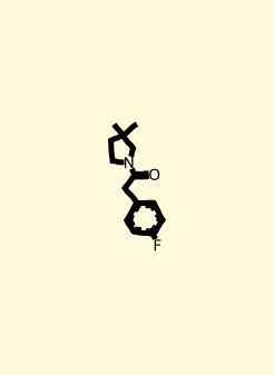 CC1(C)CCN(C(=O)Cc2ccc(F)cc2)C1